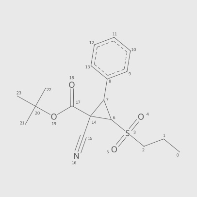 CCCS(=O)(=O)C1C(c2ccccc2)C1(C#N)C(=O)OC(C)(C)C